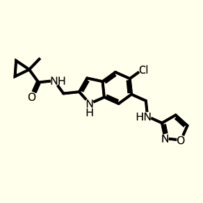 CC1(C(=O)NCc2cc3cc(Cl)c(CNc4ccon4)cc3[nH]2)CC1